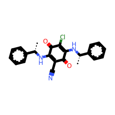 C[C@H](NC1=C(Cl)C(=O)C(N[C@@H](C)c2ccccc2)=C(C#N)C1=O)c1ccccc1